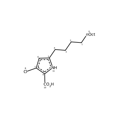 CCCCCCCCCCCCc1cc(Cl)c(C(=O)O)[nH]1